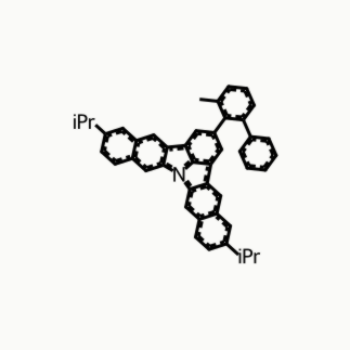 Cc1cccc(-c2ccccc2)c1-c1cc2c3cc4cc(C(C)C)ccc4cc3n3c4cc5ccc(C(C)C)cc5cc4c(c1)c23